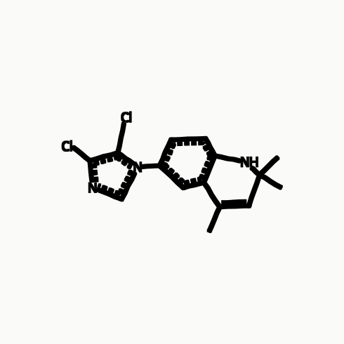 CC1=CC(C)(C)Nc2ccc(-n3cnc(Cl)c3Cl)cc21